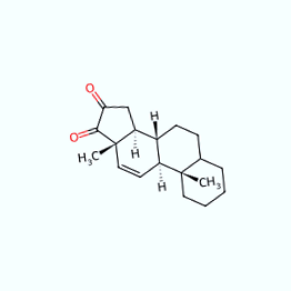 C[C@]12CCCCC1CC[C@@H]1[C@@H]2C=C[C@]2(C)C(=O)C(=O)C[C@@H]12